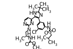 COC(=O)N[C@@H](C)CNc1nccc(-c2[nH]c(C(C)(C)C)nc2-c2cc(Cl)cc(NS(=O)(=O)CC(C)C)c2)n1